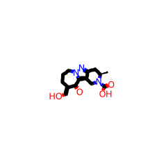 C[C@@H]1Cc2nn3c(c2CN1C(=O)O)C(=O)C(=CO)CCC3